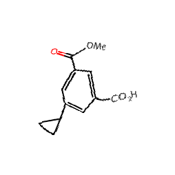 COC(=O)c1cc(C(=O)O)cc(C2CC2)c1